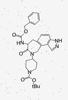 CC(C)(C)OC(=O)N1CCC(N2Cc3c(ccc4[nH]ncc34)CC(NC(=O)OCc3ccccc3)C2=O)CC1